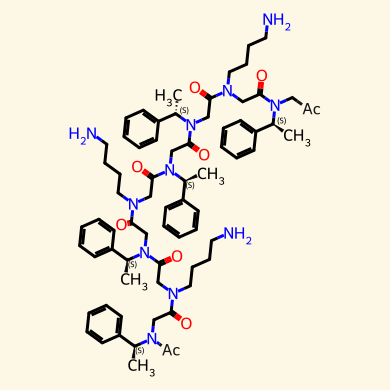 CC(=O)CN(C(=O)CN(CCCCN)C(=O)CN(C(=O)CN(C(=O)CN(CCCCN)C(=O)CN(C(=O)CN(CCCCN)C(=O)CN(C(C)=O)[C@@H](C)c1ccccc1)[C@@H](C)c1ccccc1)[C@@H](C)c1ccccc1)[C@@H](C)c1ccccc1)[C@@H](C)c1ccccc1